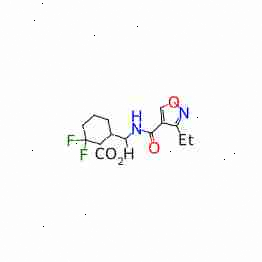 CCc1nocc1C(=O)NC(C(=O)O)C1CCCC(F)(F)C1